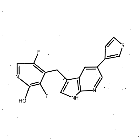 Oc1ncc(F)c(Cc2c[nH]c3ncc(-c4ccsc4)cc23)c1F